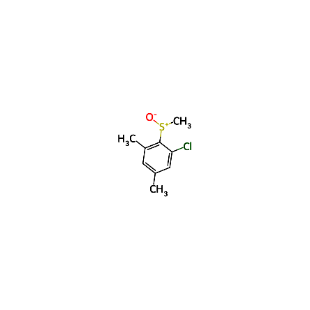 Cc1cc(C)c([S+](C)[O-])c(Cl)c1